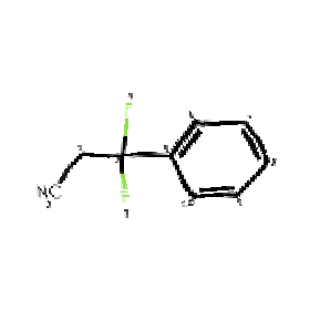 N#CCC(F)(F)c1ccccc1